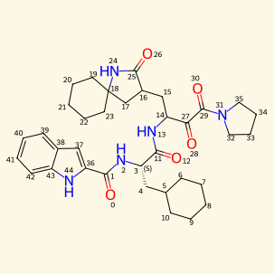 O=C(N[C@@H](CC1CCCCC1)C(=O)NC(CC1CC2(CCCCC2)NC1=O)C(=O)C(=O)N1CCCC1)c1cc2ccccc2[nH]1